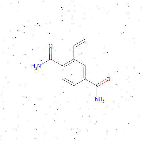 C=Cc1cc(C(N)=O)ccc1C(N)=O